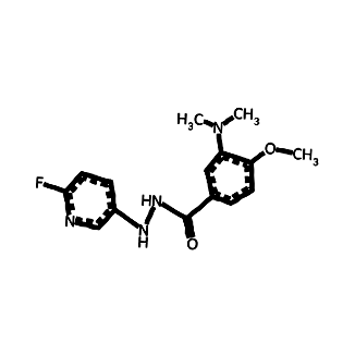 COc1ccc(C(=O)NNc2ccc(F)nc2)cc1N(C)C